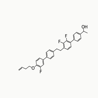 C=CCCOc1ccc(-c2ccc(CCc3ccc(-c4ccc(C(C)O)cc4)c(F)c3F)cc2)cc1F